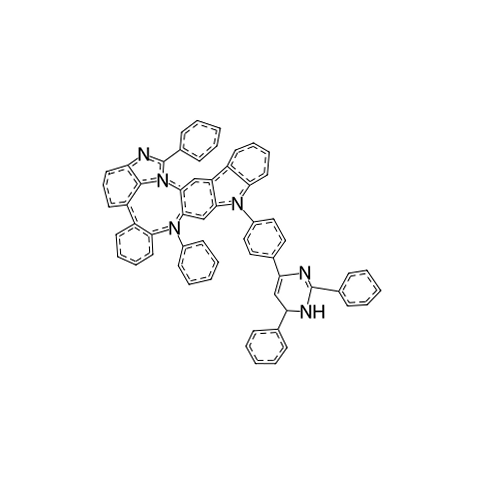 C1=C(c2ccc(-n3c4ccccc4c4cc5c(cc43)n(-c3ccccc3)c3ccccc3c3cccc4nc(-c6ccccc6)n5c43)cc2)N=C(c2ccccc2)NC1c1ccccc1